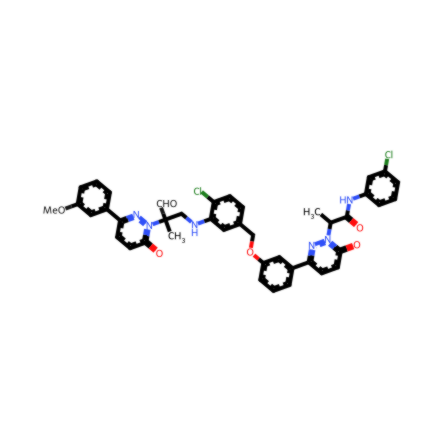 COc1cccc(-c2ccc(=O)n(C(C)(C=O)CNc3cc(COc4cccc(-c5ccc(=O)n(C(C)C(=O)Nc6cccc(Cl)c6)n5)c4)ccc3Cl)n2)c1